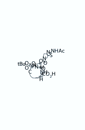 CC(=O)Nc1nc2c(s1)CN(C(=O)O[C@@H]1C[C@H]3C(=O)N[C@]4(C(=O)O)C[C@H]4C=CCCCCC[C@H](NC(=O)OC(C)(C)C)C(=O)N3C1)CC2